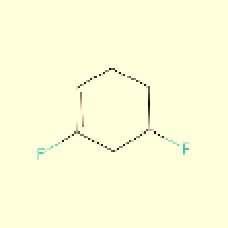 FC1=CCCC(F)C1